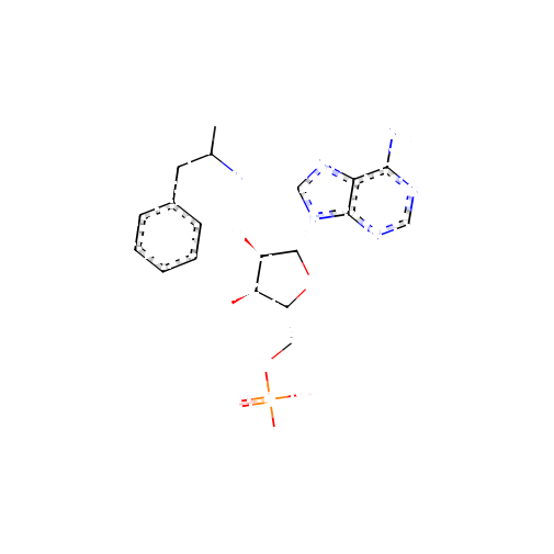 NC(Cc1ccccc1)C(=O)O.Nc1ncnc2c1ncn2[C@@H]1O[C@H](COP(=O)(O)O)[C@@H](O)[C@H]1O